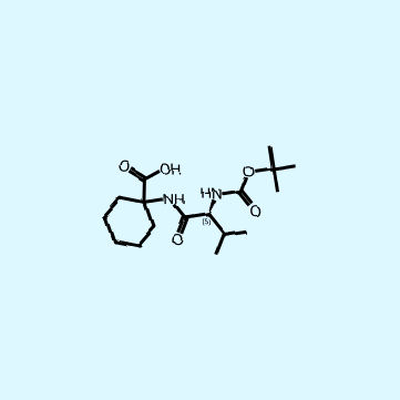 CC(C)[C@H](NC(=O)OC(C)(C)C)C(=O)NC1(C(=O)O)CCCCC1